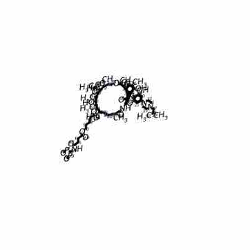 CO[C@H]1/C=C/O[C@@]2(C)Oc3c(C)c(O)c4c(=O)c(c5oc6cc(N7CCN(CC(C)C)CC7)cc(O)c6nc-5c4c3C2=O)NC(=O)/C(C)=C\C=C\[C@H](C)[C@H](OC(=O)CCCCOC(=O)CCC(=O)NC(P=O)P=O)[C@@H](C)[C@@H](O)[C@@H](C)[C@H](OC(C)=O)[C@@H]1C